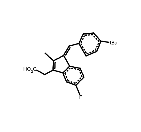 CC1=C(CC(=O)O)c2cc(F)ccc2/C1=C\c1ccc(C(C)(C)C)cc1